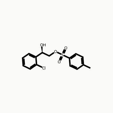 Cc1ccc(S(=O)(=O)OC[C@H](O)c2ccccc2Cl)cc1